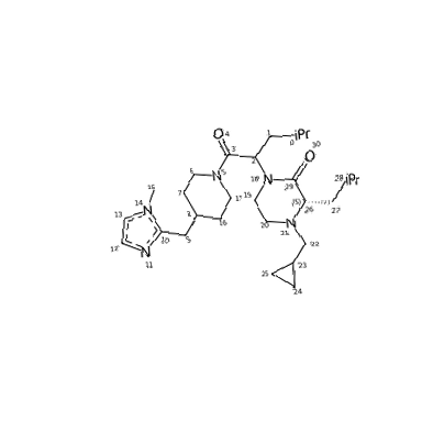 CC(C)CC(C(=O)N1CCC(Cc2nccn2C)CC1)N1CCN(CC2CC2)[C@@H](CC(C)C)C1=O